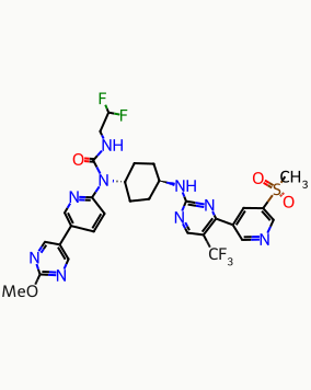 COc1ncc(-c2ccc(N(C(=O)NCC(F)F)[C@H]3CC[C@H](Nc4ncc(C(F)(F)F)c(-c5cncc(S(C)(=O)=O)c5)n4)CC3)nc2)cn1